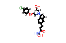 O=C(/C=C/c1ccc2c(c1)CCC2N(CCO)CCOc1ccc(Cl)cc1)NO